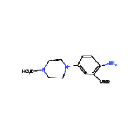 COc1cc(N2CCN(C(=O)O)CC2)ccc1N